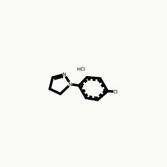 Cl.Clc1ccc(N2CCC=N2)cc1